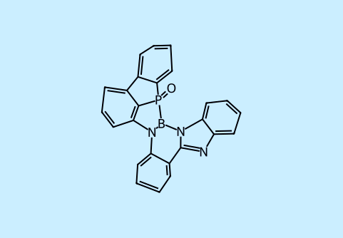 O=P12B3N(c4ccccc4-c4nc5ccccc5n43)c3cccc(c31)-c1ccccc12